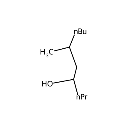 CCCCC(C)CC(O)CCC